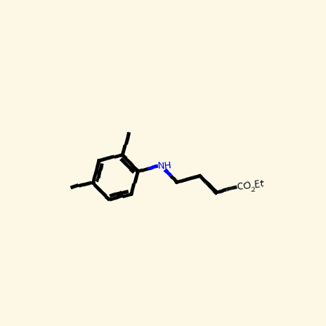 CCOC(=O)CCCNc1ccc(C)cc1C